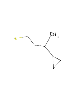 CC(CC[S])C1CC1